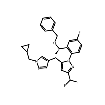 C[C@@H](OCc1ccccc1)c1cc(F)ccc1-n1nc(C(F)F)cc1Cc1cnn(CC2CC2)c1